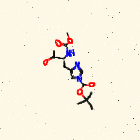 COC(=O)N[C@@H](Cc1cn(C(=O)OC(C)(C)C)cn1)C(C)=O